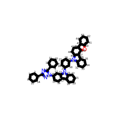 c1ccc(-c2nc(-c3ccccc3)n(-c3ccc4c5ccccc5n(-c5cccc(-n6c7ccccc7c7c8oc9ccccc9c8ccc76)c5)c4c3)n2)cc1